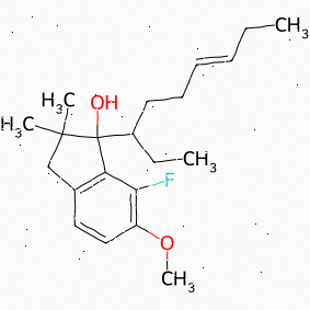 CC/C=C/CCC(CC)C1(O)c2c(ccc(OC)c2F)CC1(C)C